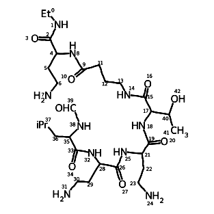 CCNC(=O)C(CCN)NC(=O)CCCNC(=O)C(NC(=O)C(CCN)NC(=O)C(CCN)NC(=O)C(CC(C)C)NC=O)C(C)O